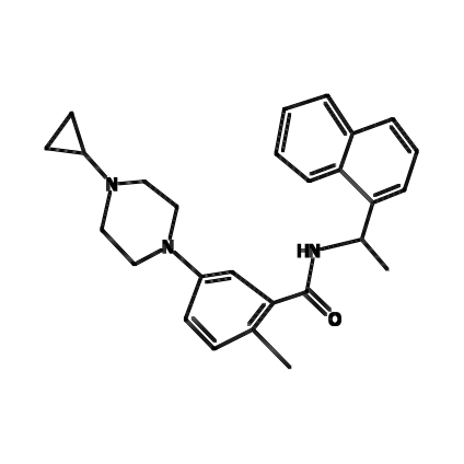 Cc1ccc(N2CCN(C3CC3)CC2)cc1C(=O)NC(C)c1cccc2ccccc12